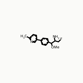 COC(c1ccc(-c2ccc(C)nc2)cc1)C(N)CF